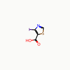 O=C(O)c1scnc1I